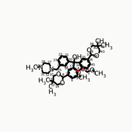 COCOc1ccc(C2OCC(C)(C)CO2)cc1C(O)(c1cccc(CN2CCN(C)CC2)c1)c1cc(C2OCC(C)(C)CO2)ccc1OC